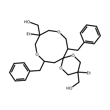 CCC1(CO)COCC(Cc2ccccc2)C2(CC(Cc3ccccc3)OC1)OCC(CC)(CO)CO2